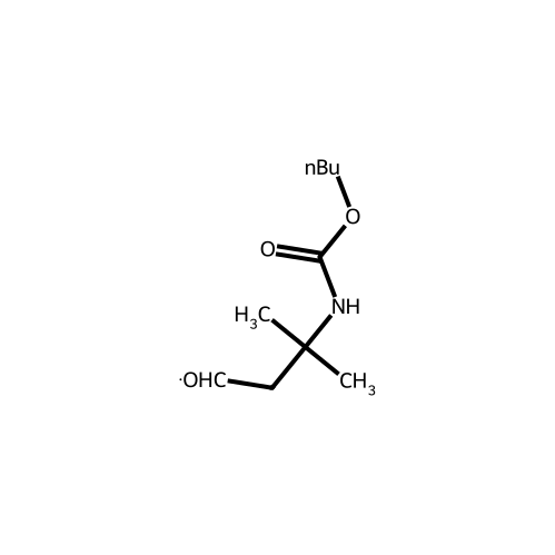 CCCCOC(=O)NC(C)(C)C[C]=O